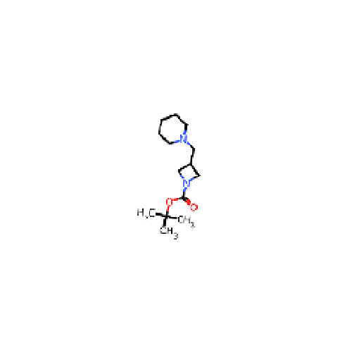 CC(C)(C)OC(=O)N1CC(CN2CCCCC2)C1